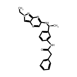 CCn1cc2ncc(N[C@@H](C)c3cccc(NC(=O)Cc4ccccc4)c3)nc2n1